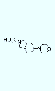 O=C(O)N1Cc2ccc(N3CCOCC3)nc2C1